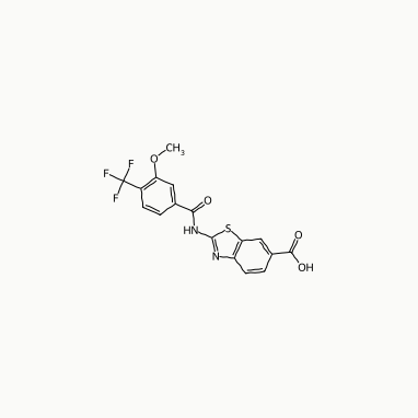 COc1cc(C(=O)Nc2nc3ccc(C(=O)O)cc3s2)ccc1C(F)(F)F